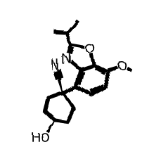 COc1ccc([C@]2(C#N)CC[C@@H](O)CC2)c2nc(C(C)C)oc12